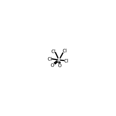 [O]=[U](=[O])([Cl])([Cl])([Cl])[Cl]